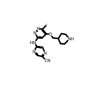 N#Cc1cnc(Nc2cc(OCC3CCNCC3)c(I)nn2)cn1